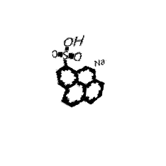 O=S(=O)(O)c1ccc2ccc3cccc4ccc1c2c34.[Na]